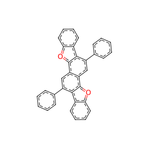 c1ccc(-c2cc3c(cc(-c4ccccc4)c4c5ccccc5oc34)c3oc4ccccc4c23)cc1